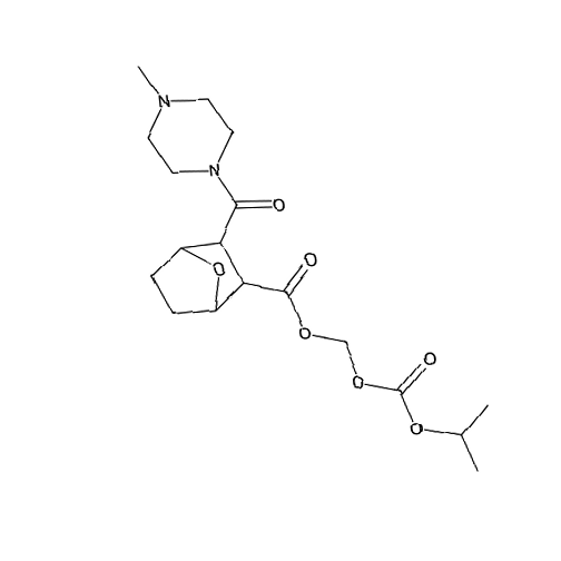 CC(C)OC(=O)OCOC(=O)C1C2CCC(O2)C1C(=O)N1CCN(C)CC1